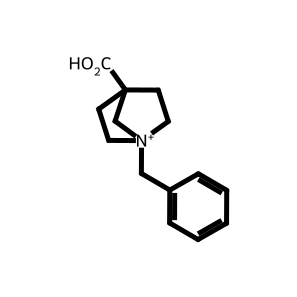 O=C(O)C12CC[N+](Cc3ccccc3)(CC1)C2